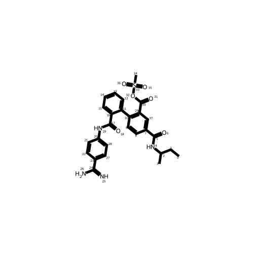 CCC(C)NC(=O)c1ccc(-c2ccccc2C(=O)Nc2ccc(C(=N)N)cc2)c(C(=O)OS(C)(=O)=O)c1